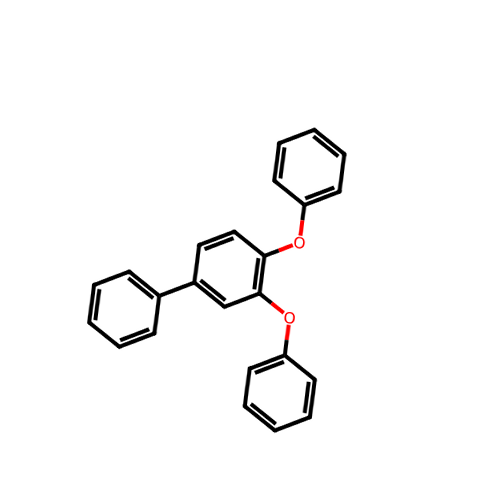 c1ccc(Oc2ccc(-c3ccccc3)cc2Oc2ccccc2)cc1